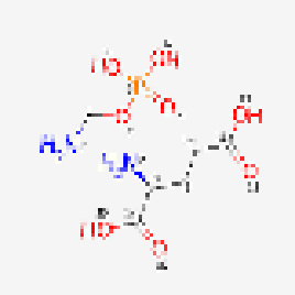 NCOP(=O)(O)O.N[C@@H](CCC(=O)O)C(=O)O